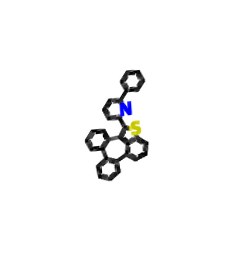 c1ccc(-c2cccc(-c3sc4cccc5c4c3-c3ccccc3-c3ccccc3-5)n2)cc1